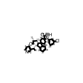 CCc1cnccc1OC[C@H](C)C[C@H]1Cc2ccccc2C12CCC(Nc1cccc(Cl)c1)(C(=O)O)CC2